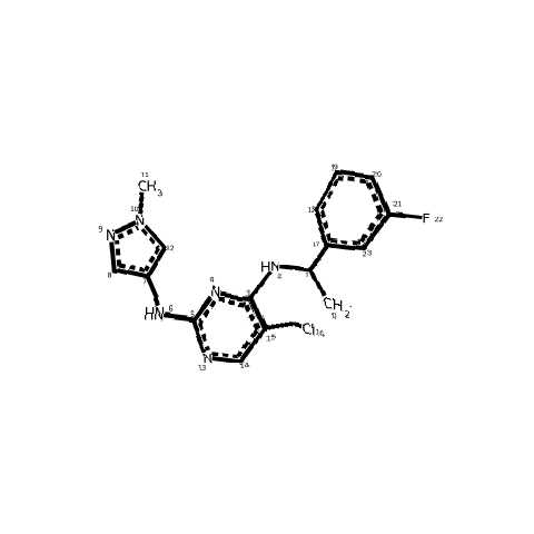 [CH2][C](Nc1nc(Nc2cnn(C)c2)ncc1Cl)c1cccc(F)c1